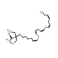 CC/C=C\C/C=C\C/C=C\C/C=C\C/C=C\CCCCSC(CC)(CC)C(C)=O